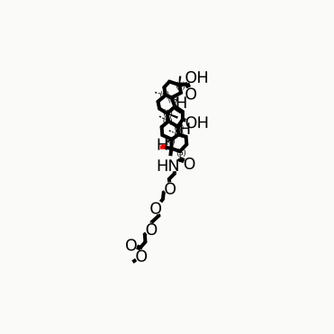 COC(=O)CCOCCOCCOCCNC(=O)[C@H]1CC[C@]2(C)[C@H]3C(O)C=C4[C@@H]5C[C@@](C)(C(=O)O)CC[C@]5(C)CC[C@@]4(C)[C@]3(C)CC[C@H]2C1(C)C